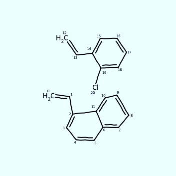 C=Cc1cccc2ccccc12.C=Cc1ccccc1Cl